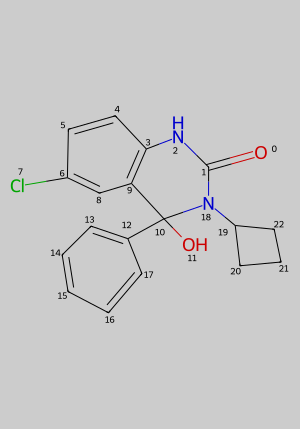 O=C1Nc2ccc(Cl)cc2C(O)(c2ccccc2)N1C1CCC1